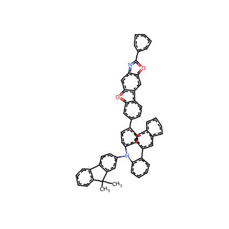 CC1(C)c2ccccc2-c2ccc(N(c3ccc(-c4ccc5c(c4)oc4cc6nc(-c7ccccc7)oc6cc45)cc3)c3ccccc3-c3ccc4ccccc4c3)cc21